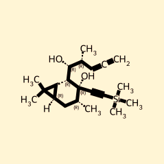 C=C=C[C@@H](C)[C@@H](O)[C@H]1C2[C@@H](C[C@@H](C)[C@]1(O)C#C[Si](C)(C)C)C2(C)C